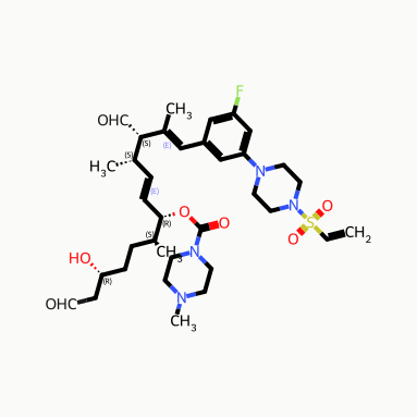 C=CS(=O)(=O)N1CCN(c2cc(F)cc(/C=C(\C)[C@@H](C=O)[C@@H](C)/C=C/[C@H](OC(=O)N3CCN(C)CC3)[C@@H](C)CC[C@@H](O)CC=O)c2)CC1